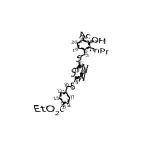 CCCc1c(CSc2nnc(SCc3ccc(C(=O)OCC)cc3)s2)ccc(C(C)=O)c1O